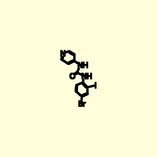 O=C(Nc1ccncc1)Nc1ccc(Br)cc1I